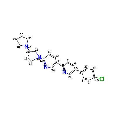 Clc1ccc(-c2ccc(-c3ccc(N4CCC(N5CCCC5)C4)nc3)nc2)cc1